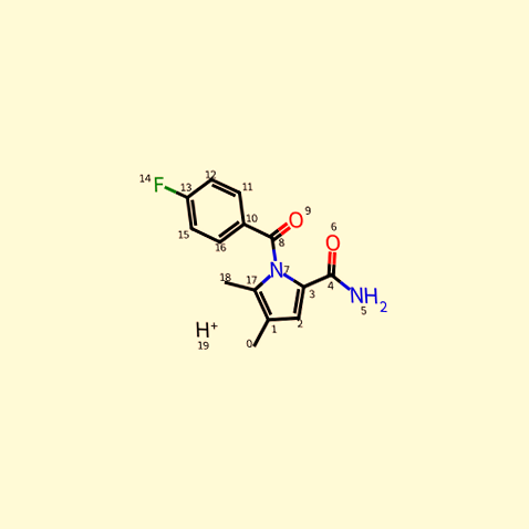 Cc1cc(C(N)=O)n(C(=O)c2ccc(F)cc2)c1C.[H+]